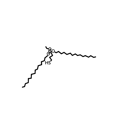 CCCCCCCCCCCCCCCCO[Si](CCCS)(OCC)OCCCCCCCCCCCCCCCC